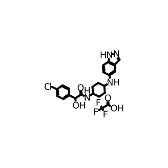 O=C(NC1CCC(Nc2ccc3[nH]ncc3c2)CC1)C(O)c1ccc(Cl)cc1.O=C(O)C(F)(F)F